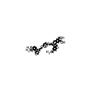 COc1ccc(C[C@@H]2c3cc(CO)c(CO)cc3CC[N@@+]2(C)CCCOC(=O)/C=C\C(=O)OCCC[N+]2(Cc3ccc(C)c(OC)c3)CCOCC2)cc1